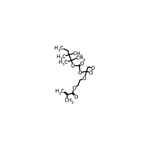 C=C(C)C(=O)OCCOC1(OC(=O)OC(C)(C)C(C)(C)CC)COO1